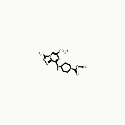 Cc1nnc2c(NC3CCN(C(=O)OC(C)(C)C)CC3)nc(C(=O)O)cn12